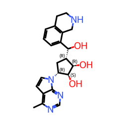 Cc1ncnc2c1ccn2[C@@H]1C[C@H](C(O)c2cccc3c2CNCC3)[C@@H](O)[C@H]1O